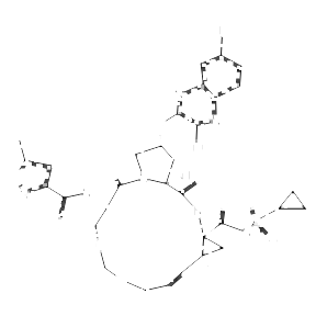 CCc1nc2ccc(F)cc2nc1O[C@@H]1C[C@H]2C(=O)N[C@]3(C(=O)NS(=O)(=O)C4CC4)C[C@H]3/C=C\CCCCC[C@H](NC(=O)c3cc(C)on3)C(=O)N2C1